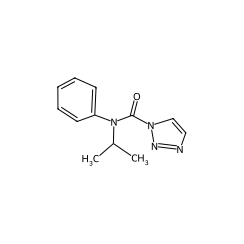 CC(C)N(C(=O)n1ccnn1)c1ccccc1